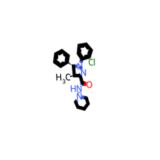 C[C@H]1C(C(=O)NN2CCCCC2)=NN(c2ccccc2Cl)[C@H]1c1ccccc1